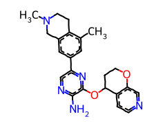 Cc1cc(-c2cnc(N)c(OC3CCOc4cnccc43)n2)cc2c1CCN(C)C2